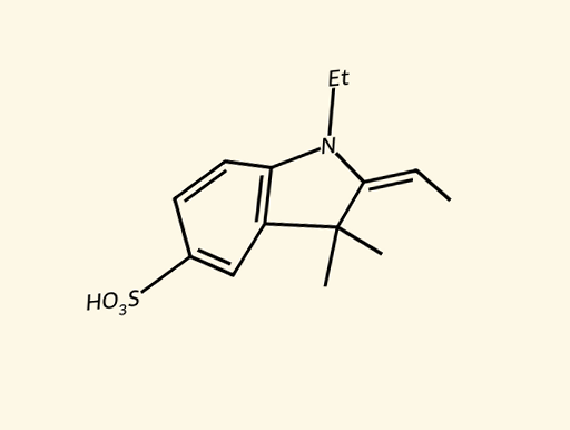 C/C=C1/N(CC)c2ccc(S(=O)(=O)O)cc2C1(C)C